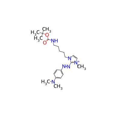 CN(C)c1ccc(/N=N/c2n(CCCCCNC(=O)OC(C)(C)C)cc[n+]2C)cc1